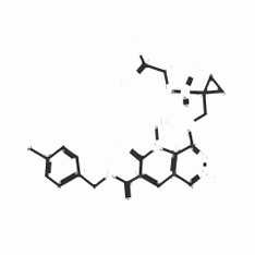 Cn1c(=O)c(C(=O)NCc2ccc(Cl)cc2)cc2cnnc(OCC3(S(=O)(=O)NCC(=O)O)CC3)c21